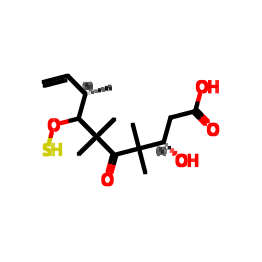 C=C[C@H](C)C(OS)C(C)(C)C(=O)C(C)(C)[C@@H](O)CC(=O)O